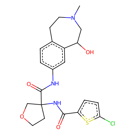 CN1CCc2ccc(NC(=O)C3(NC(=O)c4ccc(Cl)s4)CCOC3)cc2C(O)C1